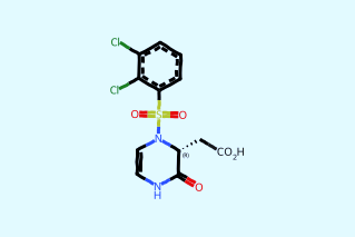 O=C(O)C[C@@H]1C(=O)NC=CN1S(=O)(=O)c1cccc(Cl)c1Cl